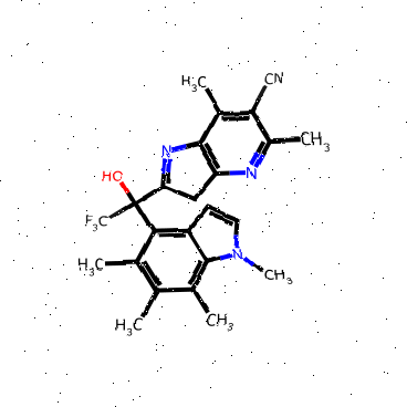 Cc1nc2c(c(C)c1C#N)N=C(C(O)(c1c(C)c(C)c(C)c3c1ccn3C)C(F)(F)F)C2